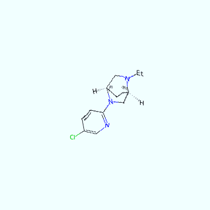 CCN1C[C@H]2C[C@@H]1CN2c1ccc(Cl)cn1